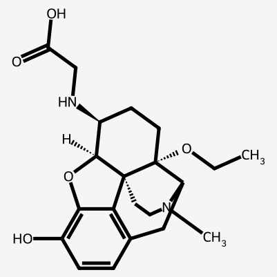 CCO[C@@]12CC[C@H](NCC(=O)O)[C@@H]3Oc4c(O)ccc5c4[C@@]31CCN(C)C2C5